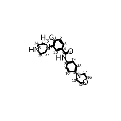 Cc1ccc(C(=O)Nc2ccc(N3CCOCC3)cc2)cc1N1CCNCC1